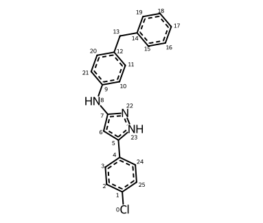 Clc1ccc(-c2cc(Nc3ccc(Cc4ccccc4)cc3)n[nH]2)cc1